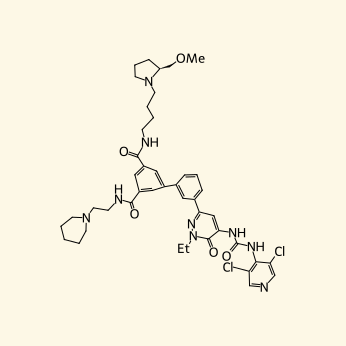 CCn1nc(-c2cccc(-c3cc(C(=O)NCCCCN4CCC[C@H]4COC)cc(C(=O)NCCN4CCCCC4)c3)c2)cc(NC(=O)Nc2c(Cl)cncc2Cl)c1=O